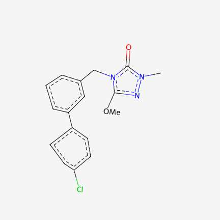 COc1nn(C)c(=O)n1Cc1cccc(-c2ccc(Cl)cc2)c1